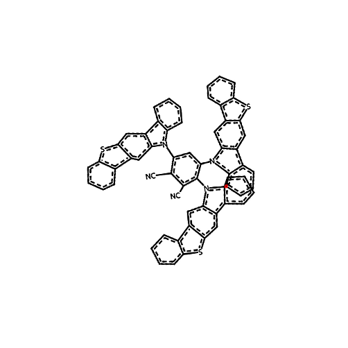 N#Cc1c(-n2c3ccccc3c3cc4sc5ccccc5c4cc32)cc(-n2c3ccccc3c3cc4sc5ccccc5c4cc32)c(-n2c3ccccc3c3cc4sc5ccccc5c4cc32)c1C#N